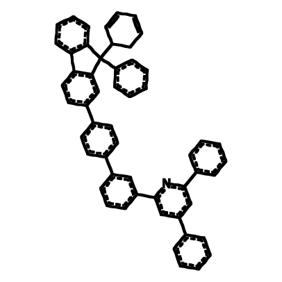 C1=CCC(C2(c3ccccc3)c3ccccc3-c3ccc(-c4ccc(-c5cccc(-c6cc(-c7ccccc7)cc(-c7ccccc7)n6)c5)cc4)cc32)C=C1